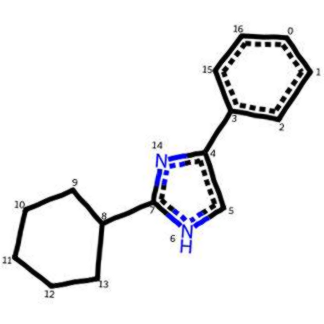 c1ccc(-c2c[nH]c(C3CCCCC3)n2)cc1